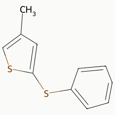 Cc1csc(Sc2ccccc2)c1